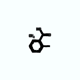 C.Cc1ccccc1C(=O)O